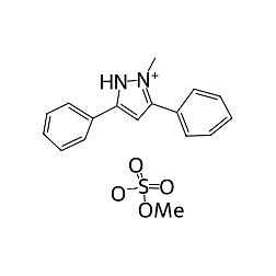 COS(=O)(=O)[O-].C[n+]1[nH]c(-c2ccccc2)cc1-c1ccccc1